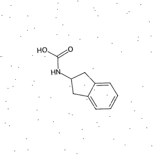 O=C(O)NC1Cc2ccccc2C1